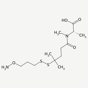 C[C@@H](C(=O)O)N(C)C(=O)CCC(C)(C)SSCCCON